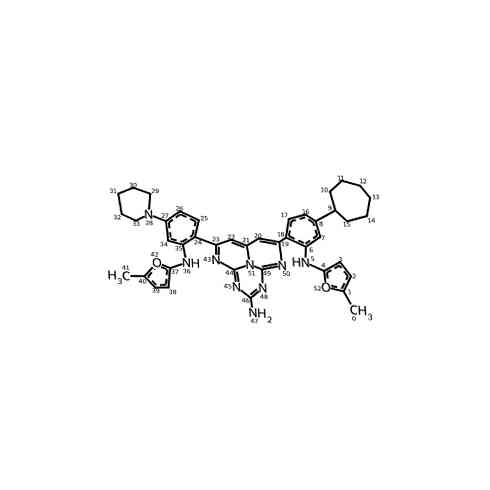 Cc1ccc(Nc2cc(C3CCCCCC3)ccc2C2=CC3=CC(c4ccc(N5CCCCC5)cc4Nc4ccc(C)o4)=NC4=NC(N)=NC(=N2)N34)o1